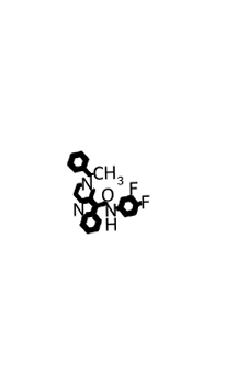 C[C@H](c1ccccc1)N1CCc2nc3ccccc3c(C(=O)Nc3ccc(F)c(F)c3)c2C1